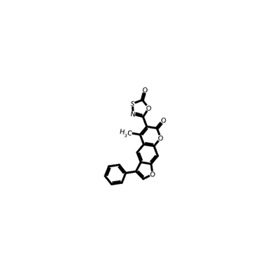 Cc1c(-c2nsc(=O)o2)c(=O)oc2cc3occ(-c4ccccc4)c3cc12